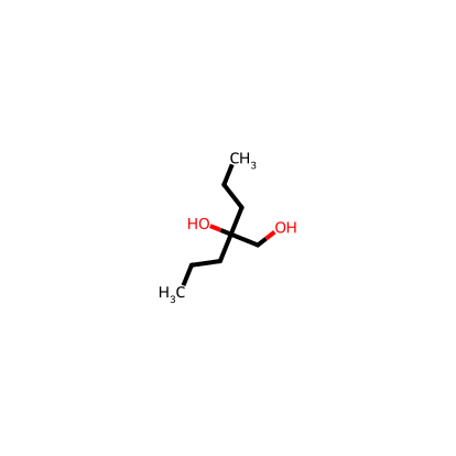 CCCC(O)(CO)CCC